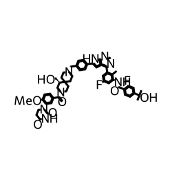 COc1ccc(C(=O)N2CCC3(CCN(Cc4ccc(-c5cc6c(-c7cc(F)cc(NC(=O)c8ccc(C(C)(C)O)cc8F)c7C)ncnc6[nH]5)cc4)CC3)[C@H](CO)C2)cc1N1CCC(=O)NC1=O